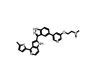 Cc1ccc(-c2nccc3[nH]c(-c4n[nH]c5ccc(-c6cncc(OCCN(C)C)c6)cc45)cc23)s1